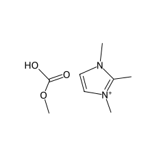 COC(=O)O.Cc1n(C)cc[n+]1C